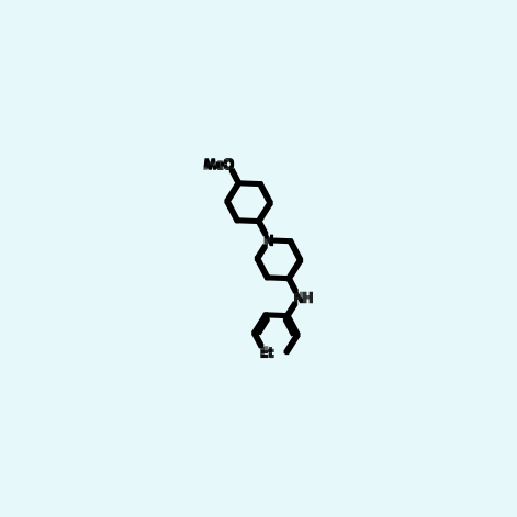 C/C=C(\C=C/CC)NC1CCN(C2CCC(OC)CC2)CC1